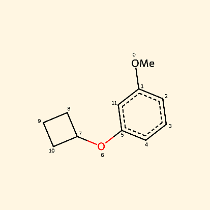 COc1cccc(OC2CCC2)c1